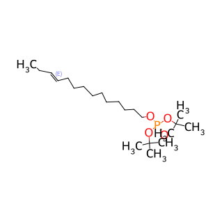 CC/C=C/CCCCCCCCCCOP(=O)(OC(C)(C)C)OC(C)(C)C